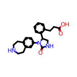 O=C(O)CCc1ccccc1C1CNC(=O)N1c1ccc2c(c1)CCNCC2